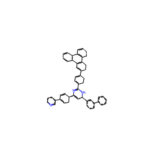 C1=CC2C3=C(CCC=C3)C3=C(C=C(C4=CC=C(C5=NC(C6C=CC(c7cccnc7)=CC6)=CC(c6cccc(-c7ccccc7)c6)N5)CC4)CC3)C2C=C1